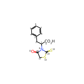 O=C(O)C(Cc1ccccc1)N1C(=O)CSC1=S